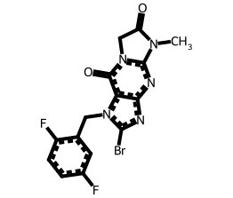 CN1C(=O)Cn2c1nc1nc(Br)n(Cc3cc(F)ccc3F)c1c2=O